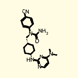 CN(C)c1ccnc(N[C@H]2CC[C@@H](CN(C(N)=O)c3ccc(C#N)cc3)CC2)n1